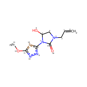 C=CCN1CC(O)N(c2nnc(OCCC)s2)C1=O